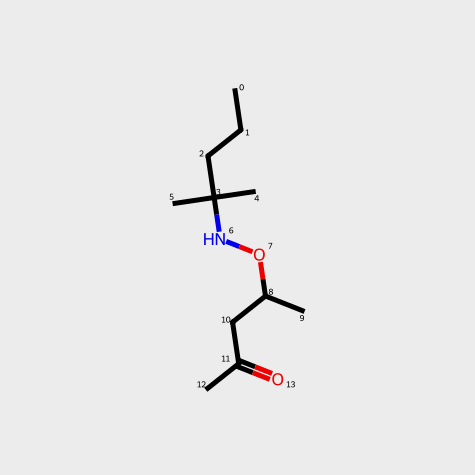 CCCC(C)(C)NOC(C)CC(C)=O